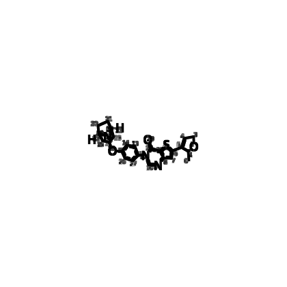 CC1OCC=C1c1cc2ncn(-c3ccc(OC4C[C@H]5CC[C@@H](C4)N5C)cc3)c(=O)c2s1